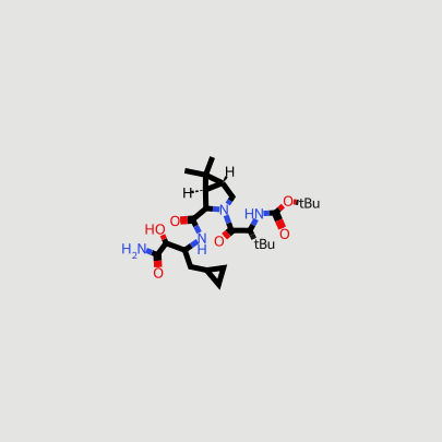 CC(C)(C)OC(=O)NC(C(=O)N1C[C@H]2[C@@H](C1C(=O)NC(CC1CC1)C(O)C(N)=O)C2(C)C)C(C)(C)C